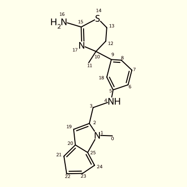 Cn1c(CNc2cccc(C3(C)CCSC(N)=N3)c2)cc2ccccc21